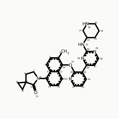 Cc1ccc2c(N3CCC4(CC4)C3=O)cccc2c1Oc1ncccc1-c1ccnc(NC2CCCNC2)n1